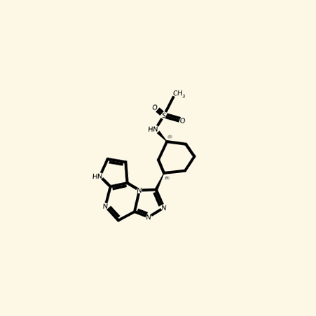 CS(=O)(=O)N[C@H]1CCC[C@@H](c2nnc3cnc4[nH]ccc4n23)C1